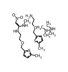 CNC.CNC.CNC(=C[N+](=O)[O-])NCCOCc1ccc(C)s1.Cc1ccc(COCCN)s1